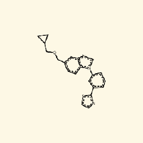 c1cc(-c2nccs2)cc(-n2cnc3cc(COCC4CC4)ccc32)c1